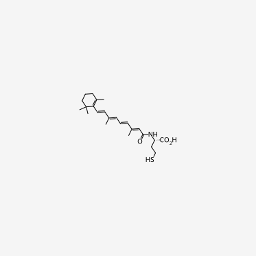 CC1=C(/C=C/C(C)=C/C=C/C(C)=C/C(=O)N[C@@H](CCS)C(=O)O)C(C)(C)CCC1